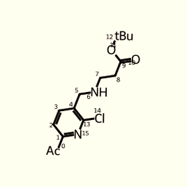 CC(=O)c1ccc(CNCCC(=O)OC(C)(C)C)c(Cl)n1